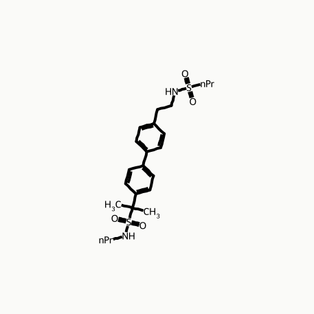 CCCNS(=O)(=O)C(C)(C)c1ccc(-c2ccc(CCNS(=O)(=O)CCC)cc2)cc1